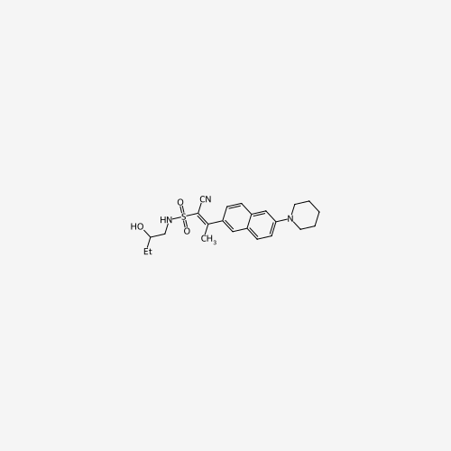 CCC(O)CNS(=O)(=O)/C(C#N)=C(\C)c1ccc2cc(N3CCCCC3)ccc2c1